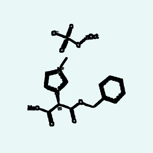 CCCCCCCCOS(=O)(=O)[O-].COC(=O)[C@H](C(=O)OCc1ccccc1)n1cc[n+](C)c1